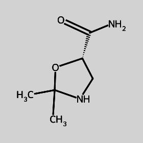 CC1(C)NC[C@@H](C(N)=O)O1